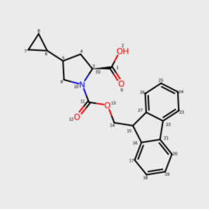 O=C(O)[C@@H]1CC(C2CC2)CN1C(=O)OCC1c2ccccc2-c2ccccc21